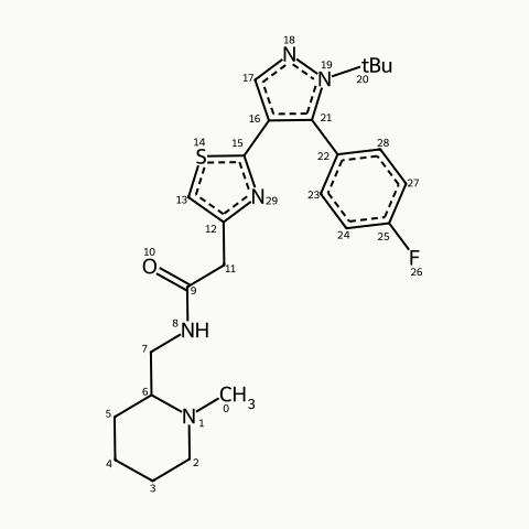 CN1CCCCC1CNC(=O)Cc1csc(-c2cnn(C(C)(C)C)c2-c2ccc(F)cc2)n1